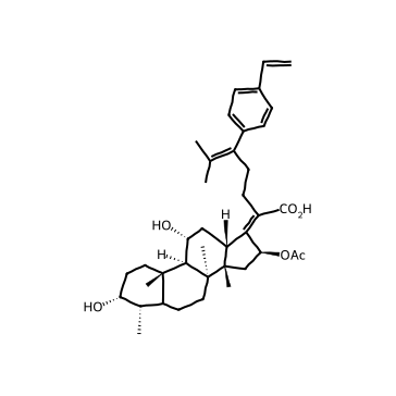 C=Cc1ccc(C(CCC(C(=O)O)=C2[C@@H](OC(C)=O)C[C@@]3(C)[C@@H]2C[C@@H](O)[C@@H]2[C@@]4(C)CC[C@@H](O)[C@@H](C)C4CC[C@@]23C)=C(C)C)cc1